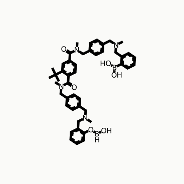 CN(Cc1ccc(CN(C)C(=O)c2ccc(C(=O)N(C)Cc3ccc(CN(C)Cc4ccccc4B(O)O)cc3)cc2C(C)(C)C)cc1)Cc1ccccc1OBO